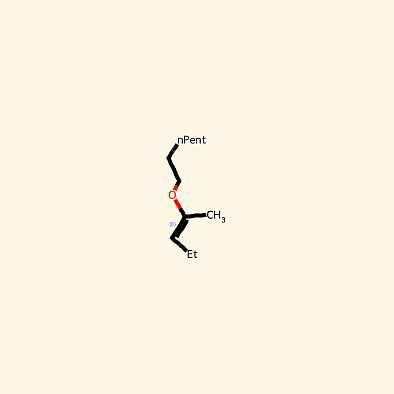 CC/C=C(\C)OCCCCCCC